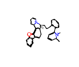 CC1C=CC=C(c2ccccc2CC[C@H]2C3CC=c4c(oc5ccccc45)=C3C3C=CC=CN32)N1C